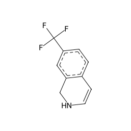 FC(F)(F)c1ccc2c(c1)CNC=C2